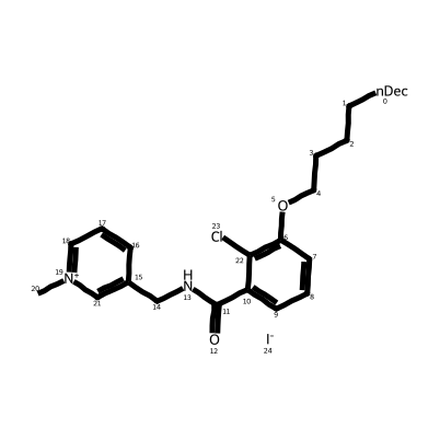 CCCCCCCCCCCCCCOc1cccc(C(=O)NCc2ccc[n+](C)c2)c1Cl.[I-]